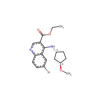 CCOC(=O)c1cnc2ccc(Br)cc2c1N[C@@H]1CC[C@@H](OC)C1